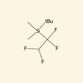 CC(C)(C)[Si](C)(C)C(F)(F)C(F)F